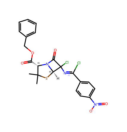 CC1(C)S[C@H]2N(C(=O)C2(Cl)/N=C(\Cl)c2ccc([N+](=O)[O-])cc2)[C@H]1C(=O)OCc1ccccc1